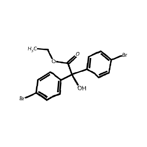 CCOC(=O)C(O)(c1ccc(Br)cc1)c1ccc(Br)cc1